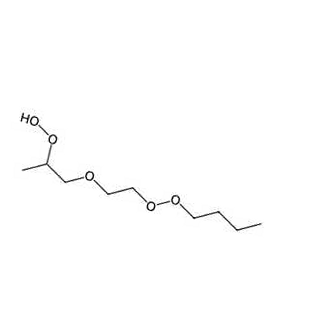 CCCCOOCCOCC(C)OO